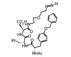 CC(=O)N[C@@H](Cc1ccc(OCc2ccccc2)cc1)C(=O)N[C@H](CC(C)C)C(=O)N[C@@H](CC(=O)O)C(=O)NCCOCCN=[N+]=[N-]